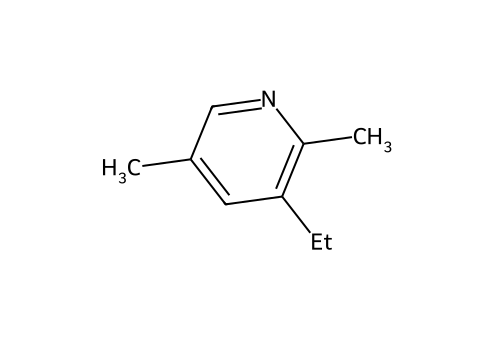 CCc1cc(C)cnc1C